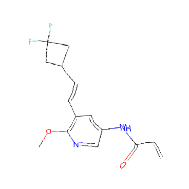 C=CC(=O)Nc1cnc(OC)c(/C=C/C2CC(F)(F)C2)c1